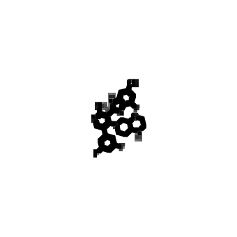 N#Cc1cc(F)c2nc(-c3c(N)ncc(-c4cc(F)cc(F)c4)c3N3CCC4NCCOC4C3)[nH]c2c1